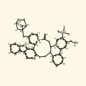 C=C1CC2C(CCc3ncc4c(oc5ccccc54)c3-c3cc(CC4CC5CCC4CC5)cc[n+]31)c1ccccc1-c1cc(CC(C)C)c([Si](C)(C)C)c[n+]12